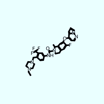 CCN1CCN(Cc2ccc(NC(=O)N3CCc4cc(F)c(Oc5ccnn6cccc56)cc4C3C)cc2C(F)(F)F)CC1